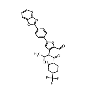 CC(C)N(c1cc(-c2ccc(-c3nc4ncccc4o3)cc2)sc1C=O)C(=O)[C@H]1CC[C@H](C(F)(F)F)CC1